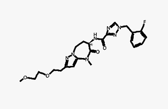 COCCOCCc1cc2n(n1)CC[C@@H](NC(=O)c1ncn(Cc3ccccc3F)n1)C(=O)N2C